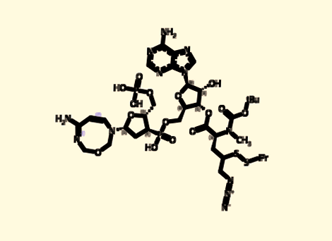 CC(C)SSC(CN=[N+]=[N-])C[C@@H](C(=O)O[C@H]1[C@@H](O)[C@H](n2cnc3c(N)ncnc32)O[C@@H]1COP(=O)(O)[C@H]1C[C@H](N2/C=C\C(N)=N/COC2)O[C@@H]1COP(=O)(O)O)N(C)C(=O)OC(C)(C)C